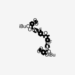 CC(C)COc1ccc(S(C)(=O)=O)cc1C(=O)N1CCN(c2ccc(C(C)C(=O)C(C)c3ccc(N4CCN(C(=O)c5cc(S(C)(=O)=O)ccc5OCC(C)C)CC4)c(F)c3)cc2F)CC1